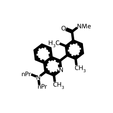 CCCN(CCC)c1c(C)nc(-c2c(C)ccc(C(=O)NC)c2C)c2ccccc12